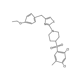 CCOc1ccc(Cc2csc(N3CCC(S(=O)(=O)c4cc(C)c(Cl)cc4Cl)CC3)n2)cc1